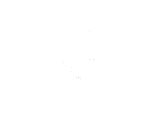 CCCCc1c(S)cnc(C)c1C